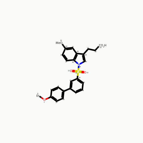 CCOc1ccc(-c2cccc(S(=O)(=O)n3cc(CCC(=O)O)c4cc(OC)ccc43)c2)cc1